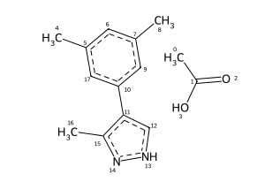 CC(=O)O.Cc1cc(C)cc(-c2c[nH]nc2C)c1